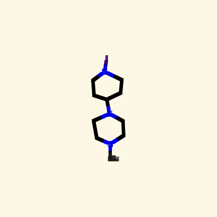 CCCCN1CCN(C2CCN(I)CC2)CC1